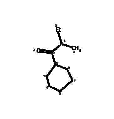 CCN(C)C(=O)C1CCCCC1